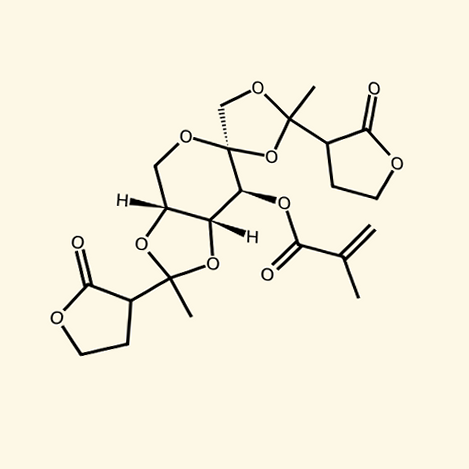 C=C(C)C(=O)O[C@H]1[C@@H]2OC(C)(C3CCOC3=O)O[C@@H]2CO[C@]12COC(C)(C1CCOC1=O)O2